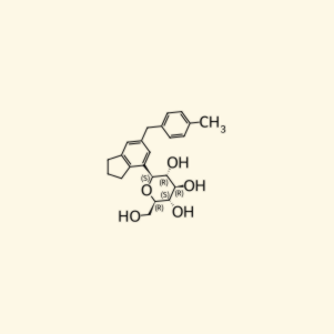 Cc1ccc(Cc2cc3c(c([C@@H]4O[C@H](CO)[C@@H](O)[C@H](O)[C@H]4O)c2)CCC3)cc1